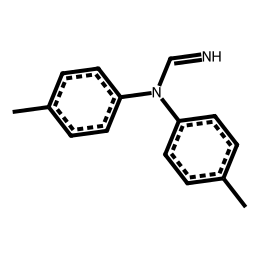 Cc1ccc(N(C=N)c2ccc(C)cc2)cc1